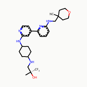 C[C@](O)(CNC1CCC(Nc2cc(-c3cccc(NCC4(C#N)CCOCC4)n3)ccn2)CC1)C(F)(F)F